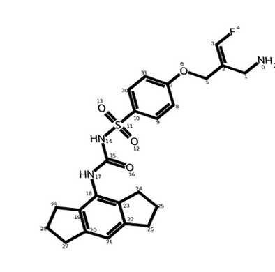 NCC(=CF)COc1ccc(S(=O)(=O)NC(=O)Nc2c3c(cc4c2CCC4)CCC3)cc1